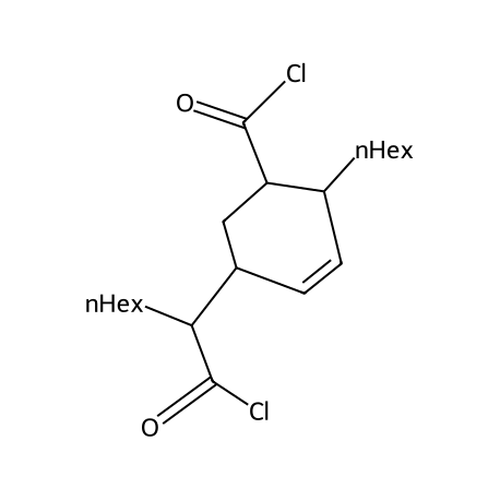 CCCCCCC1C=CC(C(CCCCCC)C(=O)Cl)CC1C(=O)Cl